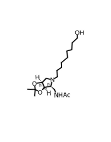 CC(=O)NC[C@H]1[C@H]2OC(C)(C)O[C@H]2CN1CCCCCCCCCO